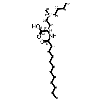 CCCCCCCCCCCC(=O)N[C@H](CC[S+](C)CCCC)C(=O)O